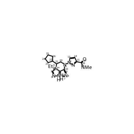 CC[N@@+]12C=NNC13NC=NC=C3N(n1ccc(C(=O)NC)n1)CC2C1CCCC1